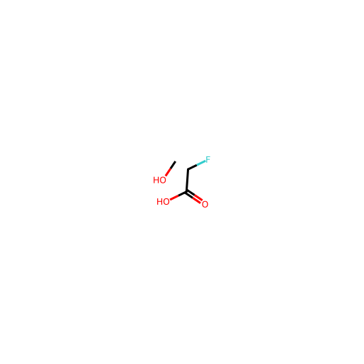 CO.O=C(O)CF